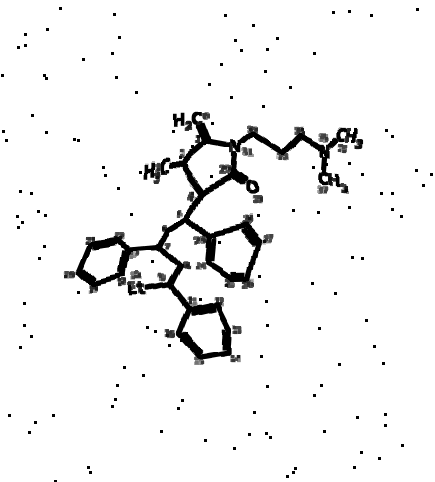 C=C1C(C)C(C(CC(CC(CC)c2ccccc2)c2ccccc2)c2ccccc2)C(=O)N1CCCN(C)C